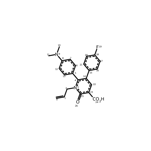 C=CCn1c(-c2ccc(N(C)C)cc2)c(-c2ccc(F)cc2)cc(C(=O)O)c1=O